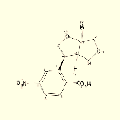 O=C(O)c1ccc([N+](=O)[O-])cc1[C@H]1CO[C@H]2COC[C@H]21